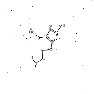 CN(C)CCOc1cc(Cl)sc1CO